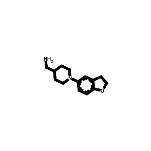 NCC1CCN(c2ccc3c(c2)CCO3)CC1